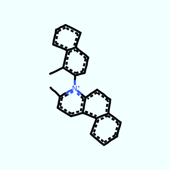 Cc1c(-[n+]2c(C)ccc3c4ccccc4ccc32)ccc2ccccc12